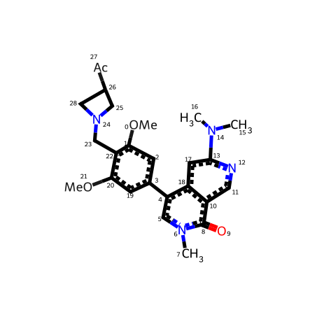 COc1cc(-c2cn(C)c(=O)c3cnc(N(C)C)cc23)cc(OC)c1CN1CC(C(C)=O)C1